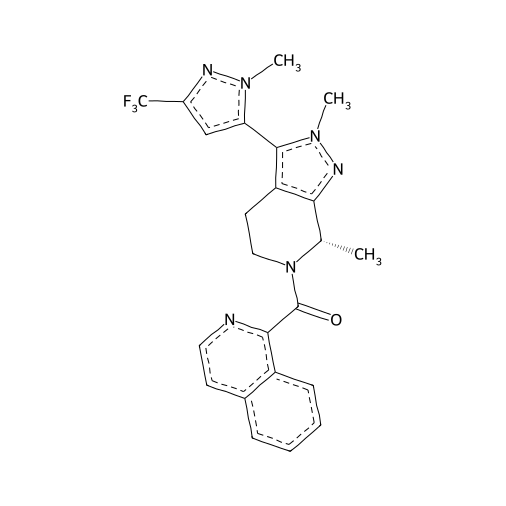 C[C@H]1c2nn(C)c(-c3cc(C(F)(F)F)nn3C)c2CCN1C(=O)c1nccc2ccccc12